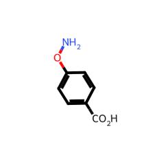 NOc1ccc(C(=O)O)cc1